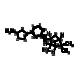 C[C@@H]1[C@@H](Nc2nccc(N3CC[C@@H](N)C3)n2)C[C@H]2C[C@@H]1C2(C)C